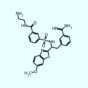 COc1ccc2nc(C(Cc3cccc(C(=N)N)c3)NS(=O)(=O)c3cccc(C(=O)NCCN)c3)sc2c1